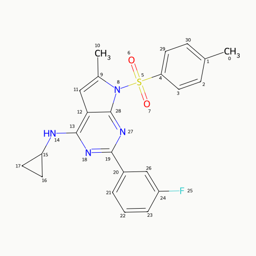 Cc1ccc(S(=O)(=O)n2c(C)cc3c(NC4CC4)nc(-c4cccc(F)c4)nc32)cc1